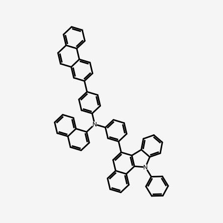 c1ccc(-n2c3ccccc3c3c(-c4cccc(N(c5ccc(-c6ccc7c(ccc8ccccc87)c6)cc5)c5cccc6ccccc56)c4)cc4ccccc4c32)cc1